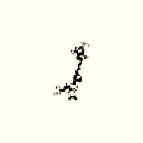 CCC(C)OC(=O)C(CCC(=O)O)NC(=O)c1csc(CCCCc2cc3c(=O)[nH]c(N)nc3[nH]2)c1